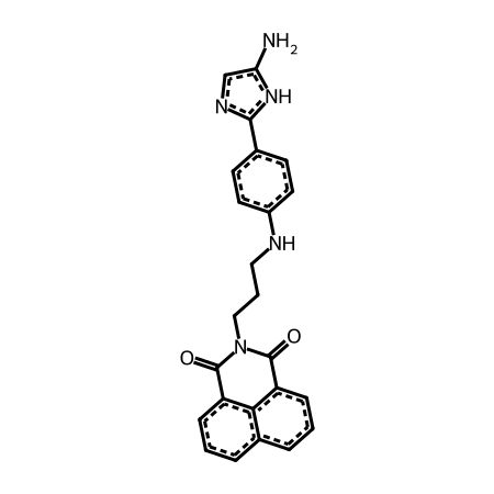 Nc1cnc(-c2ccc(NCCCN3C(=O)c4cccc5cccc(c45)C3=O)cc2)[nH]1